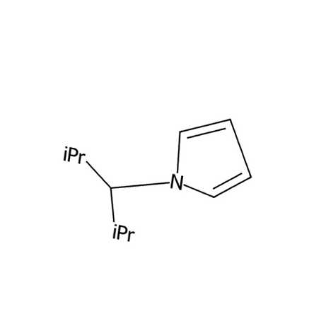 CC(C)C(C(C)C)n1cccc1